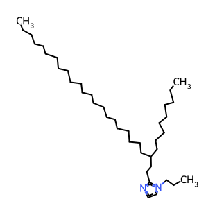 CCCCCCCCCCCCCCCCCCCCCCC(CCCCCCCCC)CCc1nccn1CCC